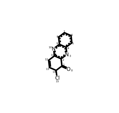 O=C1c2nc3ccccc3nc2C=CC1Cl